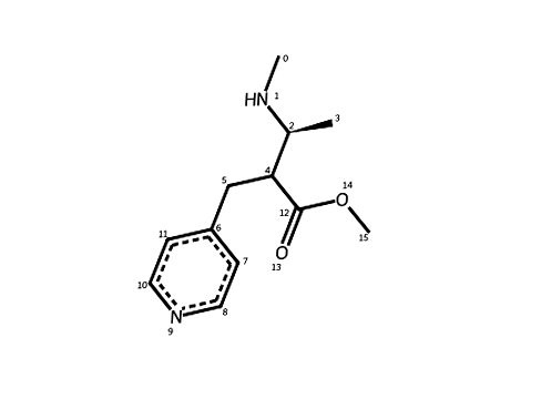 CN[C@@H](C)C(Cc1ccncc1)C(=O)OC